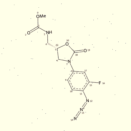 COC(=O)NC[C@H]1CN(c2ccc(N=[N+]=[N-])c(F)c2)C(=O)O1